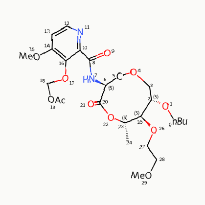 CCCCO[C@H]1COC[C@H](NC(=O)c2nccc(OC)c2OCOC(C)=O)C(=O)O[C@@H](C)[C@@H]1OCCOC